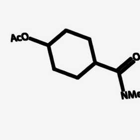 CNC(=O)C1CCC(OC(C)=O)CC1